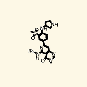 CC(C)Nc1nc(-c2ccc(NC3CCNC3)c(S(C)(=O)=O)c2)cc2ncn(C)c(=O)c12